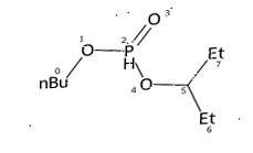 CCCCO[PH](=O)OC(CC)CC